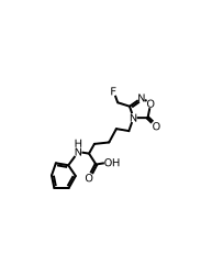 O=C(O)C(CCCCn1c(CF)noc1=O)Nc1ccccc1